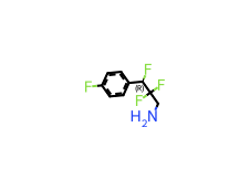 NCC(F)(F)[C@H](F)c1ccc(F)cc1